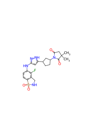 CC1(C)CC(=O)N(C2CCC(c3cc(Nc4ccc5c(c4F)CNS5(=O)=O)n[nH]3)C2)C1=O